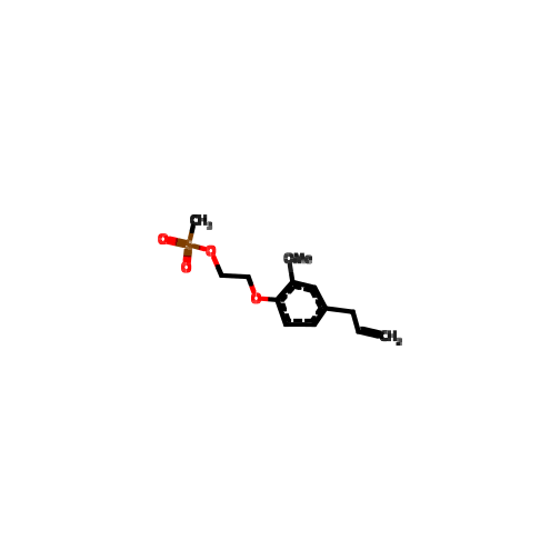 C=CCc1ccc(OCCOS(C)(=O)=O)c(OC)c1